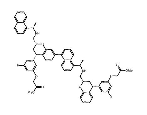 COC(=O)COc1cc(F)cc([C@H]2C[C@H](CN[C@H](C)c3cccc4c(-c5ccc6c(c5)O[C@@H](CN[C@H](C)c5cccc7ccccc57)C[C@H]6c5cc(F)cc(OCC(=O)OC)c5)cccc34)Oc3ccccc32)c1